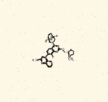 CN1CCC[C@H]1COc1nc(N2C[C@H]3CC[C@@H](C2)N3)c2ccc(-c3cc(N)nc4ccccc34)c(F)c2n1